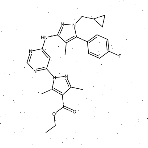 CCOC(=O)c1c(C)nn(-c2cc(Nc3nn(CC4CC4)c(-c4ccc(F)cc4)c3C)ncn2)c1C